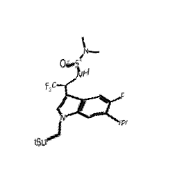 CC(C)c1cc2c(cc1F)c([C@H](N[S+]([O-])N(C)C)C(F)(F)F)cn2CC(C)(C)C